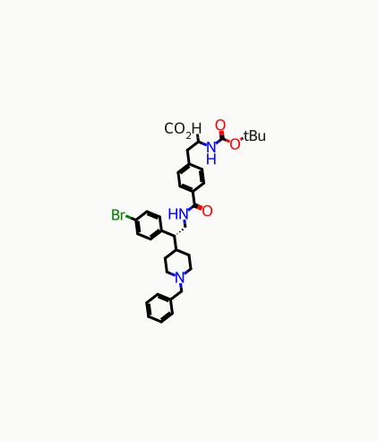 CC(C)(C)OC(=O)NC(Cc1ccc(C(=O)NC[C@@H](c2ccc(Br)cc2)C2CCN(Cc3ccccc3)CC2)cc1)C(=O)O